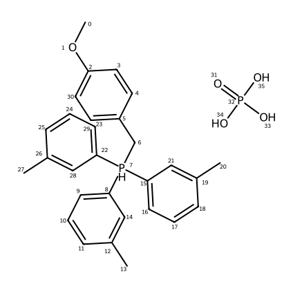 COc1ccc(C[PH](c2cccc(C)c2)(c2cccc(C)c2)c2cccc(C)c2)cc1.O=P(O)(O)O